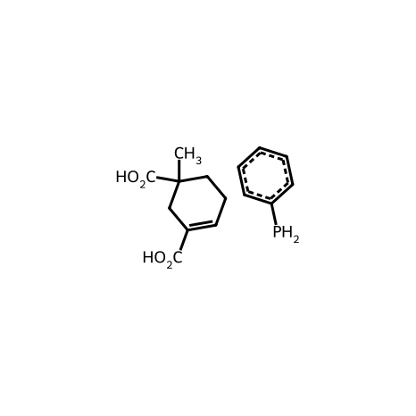 CC1(C(=O)O)CCC=C(C(=O)O)C1.Pc1ccccc1